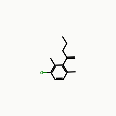 C=C(CCC)c1c(C)ccc(Cl)c1C